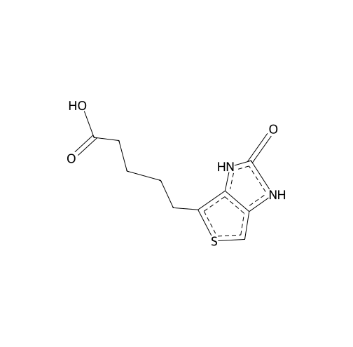 O=C(O)CCCCc1scc2[nH]c(=O)[nH]c12